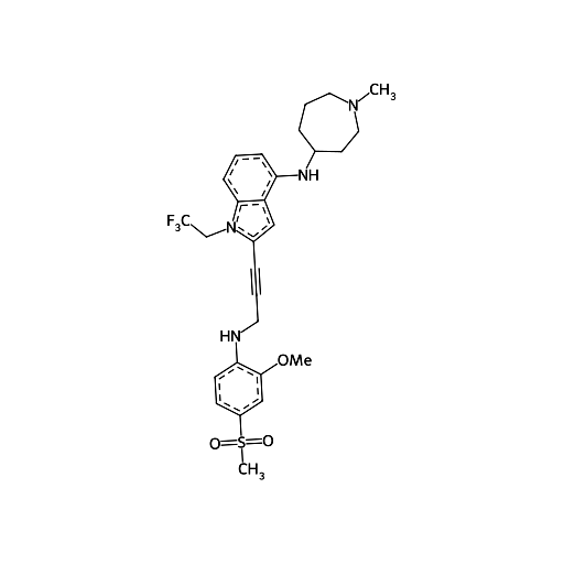 COc1cc(S(C)(=O)=O)ccc1NCC#Cc1cc2c(NC3CCCN(C)CC3)cccc2n1CC(F)(F)F